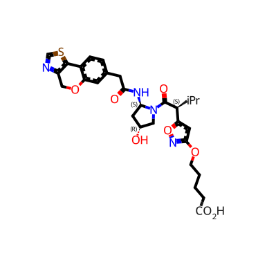 CC(C)[C@H](C(=O)N1C[C@H](O)C[C@H]1NC(=O)Cc1ccc2c(c1)OCc1ncsc1-2)c1cc(OCCCCC(=O)O)no1